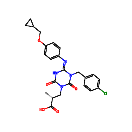 C[C@H](Cn1c(=O)[nH]/c(=N\c2ccc(OCC3CC3)cc2)n(Cc2ccc(Cl)cc2)c1=O)C(=O)O